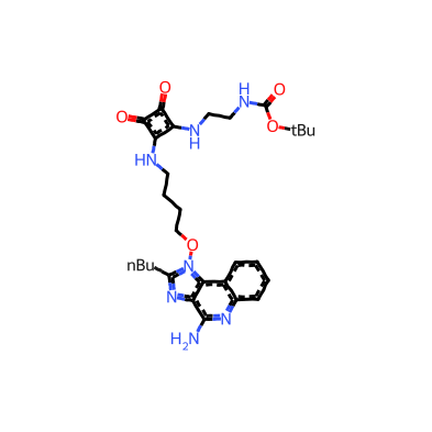 CCCCc1nc2c(N)nc3ccccc3c2n1OCCCCNc1c(NCCNC(=O)OC(C)(C)C)c(=O)c1=O